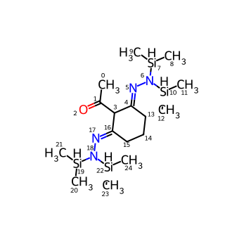 CC(=O)C1C(=NN([SiH](C)C)[SiH](C)C)CCCC1=NN([SiH](C)C)[SiH](C)C